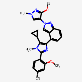 CCOc1nn(C)cc1-n1cc2c(-c3nc(-c4ccc(C#N)cc4OC(F)(F)F)n(C)c3C3CC3)cccc2n1